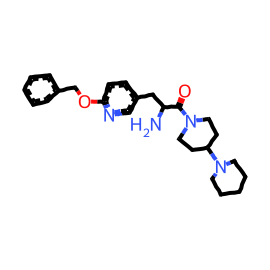 NC(Cc1ccc(OCc2ccccc2)nc1)C(=O)N1CCC(N2CCCCC2)CC1